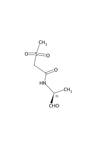 C[C@@H]([C]=O)NC(=O)CS(C)(=O)=O